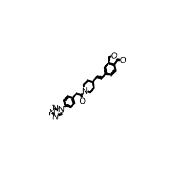 O=C1OCc2cc(C=CC3CCN(C(=O)Cc4ccc(-n5cnnn5)cc4)CC3)ccc21